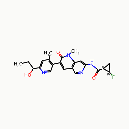 CCC(O)c1cc(C)c(-c2cc3cnc(NC(=O)[C@H]4C[C@H]4F)cc3n(C)c2=O)cn1